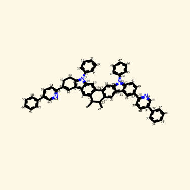 CC1c2cc3c4c(n(-c5ccccc5)c3cc2-c2cc3c(cc2C1C)c1cc(-c2ccc(-c5ccccc5)cn2)ccc1n3-c1ccccc1)CCC(c1ccc(-c2ccccc2)cn1)=C4